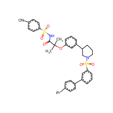 CC(C)c1ccc(-c2cccc(S(=O)(=O)N3CCCC(c4cccc(OC(C)(C)C(=O)NS(=O)(=O)c5ccc(N=O)cc5)c4)C3)c2)cc1